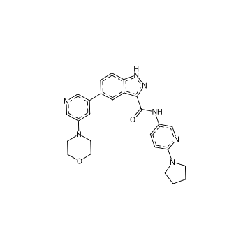 O=C(Nc1ccc(N2CCCC2)nc1)c1n[nH]c2ccc(-c3cncc(N4CCOCC4)c3)cc12